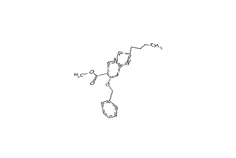 CCCCc1cn2cc(C(=O)OC)c(OCc3ccccc3)cc2n1